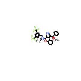 Cc1ccccc1-c1c(C(=O)c2ccccc2)cncc1C(=O)N(C)Cc1cc(C(F)(F)F)cc(C(F)(F)F)c1